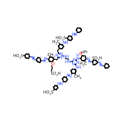 CCCOc1cc(N=Nc2ccc(N=Nc3ccccc3)cc2S(=O)(=O)O)c(C)cc1Nc1nc(NCCNc2nc(Cc3ccc(N=Nc4ccc(N=Nc5ccccc5)cc4S(=O)(=O)O)c(C)c3)nc(Cc3cc(C)c(N=Nc4ccc(N=Nc5ccc(S(=O)(=O)O)cc5)cc4)cc3OCCCS(=O)(=O)O)n2)nc(Nc2ccc(N=Nc3ccc(N=Nc4ccc(S(=O)(=O)O)cc4)cc3)c(C)c2)n1